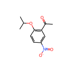 CC(=O)c1cc([N+](=O)[O-])ccc1OC(C)C